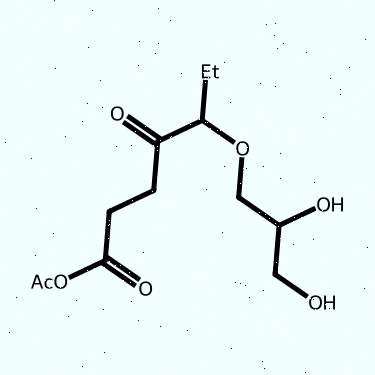 CCC(OCC(O)CO)C(=O)CCC(=O)OC(C)=O